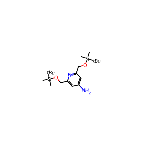 CC(C)(C)[Si](C)(C)OCc1cc(N)cc(CO[Si](C)(C)C(C)(C)C)n1